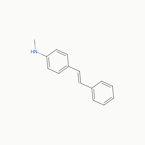 CNc1ccc(/C=C/c2ccccc2)cc1